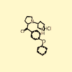 Cl.O=C(c1ccc(Oc2ccccc2)cc1)C1CCCN1C1CCNC1